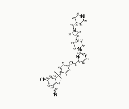 CC(C)(c1ccc(OCc2ccnc(N3CCN(C4CN(CC5CCNCC5)C4)CC3)n2)cc1)c1cc(Cl)cc(C#N)c1